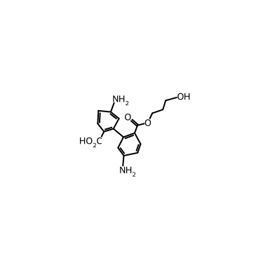 Nc1ccc(C(=O)O)c(-c2cc(N)ccc2C(=O)OCCCO)c1